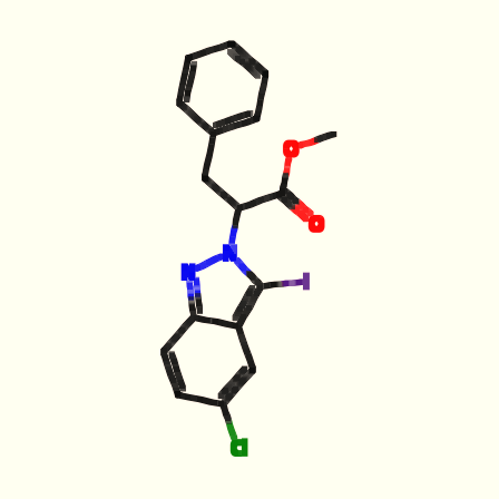 COC(=O)C(Cc1ccccc1)n1nc2ccc(Cl)cc2c1I